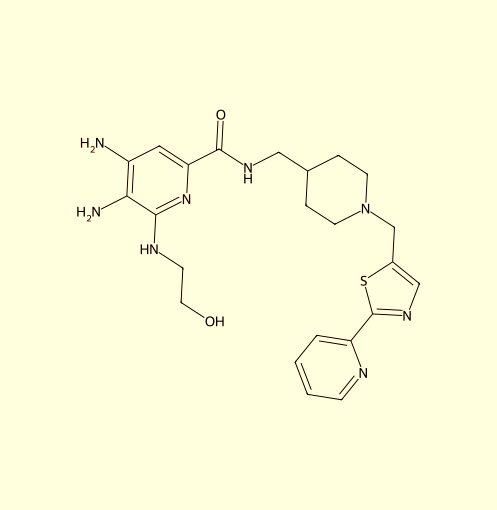 Nc1cc(C(=O)NCC2CCN(Cc3cnc(-c4ccccn4)s3)CC2)nc(NCCO)c1N